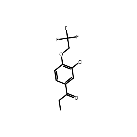 CCC(=O)c1ccc(OCC(F)(F)F)c(Cl)c1